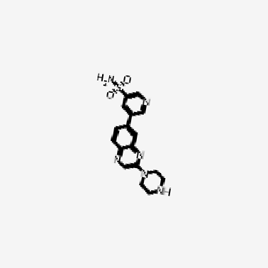 NS(=O)(=O)c1cncc(-c2ccc3ncc(N4CCNCC4)nc3c2)c1